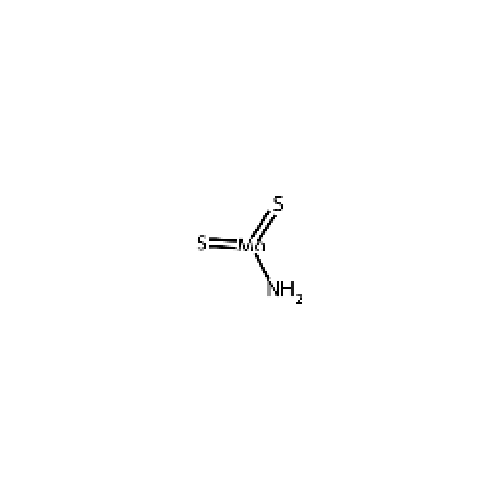 [NH2][Mo](=[S])=[S]